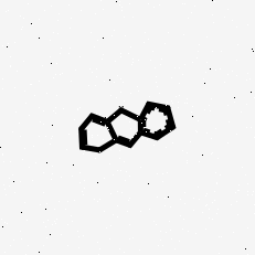 [C]1C2=CC=CCC2=Cc2ccccc21